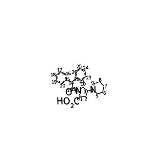 O=C(O)[C@@H]1C[C@H](N2CCCCC2)CN1C(=O)C(c1ccccc1)c1ccccc1